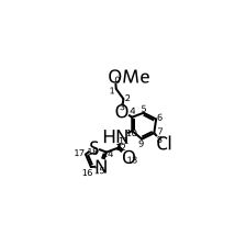 COCCOc1ccc(Cl)cc1NC(=O)c1nccs1